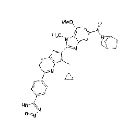 COc1cc(C(=O)N2CC3CCC2C3)cc2nc(-c3cc4ccc(-c5ccc(-c6nnn[nH]6)cc5)nc4n3CC3CC3)n(C)c12